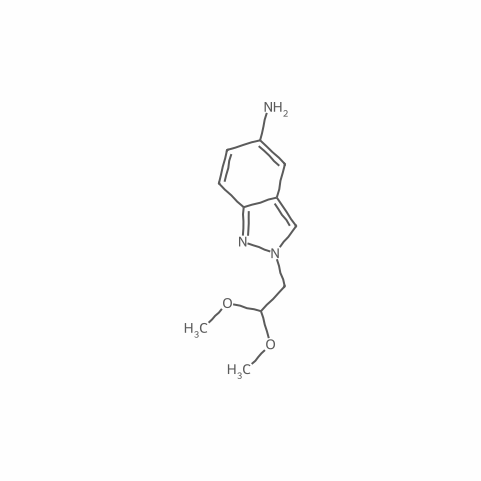 COC(Cn1cc2cc(N)ccc2n1)OC